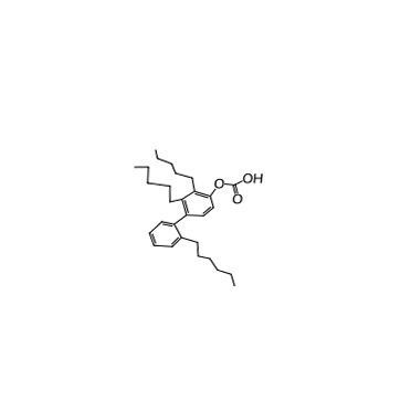 CCCCCCc1ccccc1-c1ccc(OC(=O)O)c(CCCCC)c1CCCCC